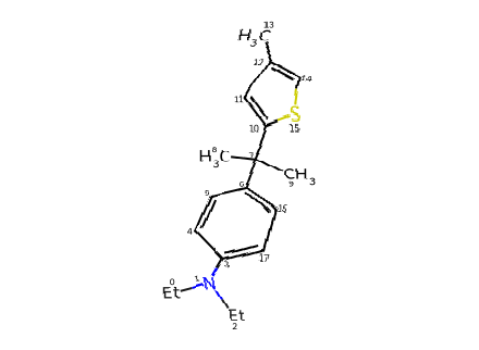 CCN(CC)c1ccc(C(C)(C)c2cc(C)cs2)cc1